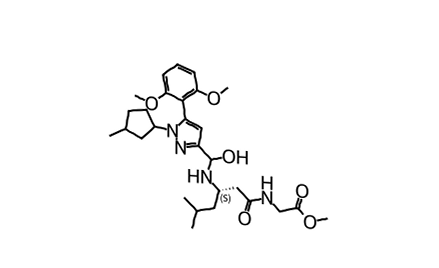 COC(=O)CNC(=O)C[C@H](CC(C)C)NC(O)c1cc(-c2c(OC)cccc2OC)n(C2CCC(C)C2)n1